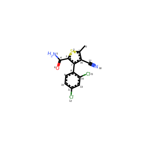 Cc1sc(C(N)=O)c(-c2ccc(Cl)cc2Cl)c1C#N